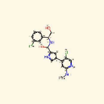 CC(C)Nc1cc(-c2c[nH]c(C(O)N[C@H](CO)c3cccc(Cl)c3)c2)c(Cl)cn1